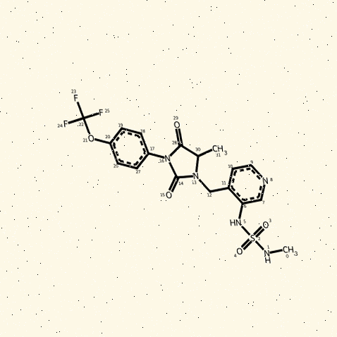 CNS(=O)(=O)Nc1cnccc1CN1C(=O)N(c2ccc(OC(F)(F)F)cc2)C(=O)C1C